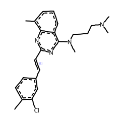 Cc1ccc(/C=C/c2nc(N(C)CCCN(C)C)c3cccc(C)c3n2)cc1Cl